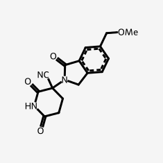 COCc1ccc2c(c1)C(=O)N(C1(C#N)CCC(=O)NC1=O)C2